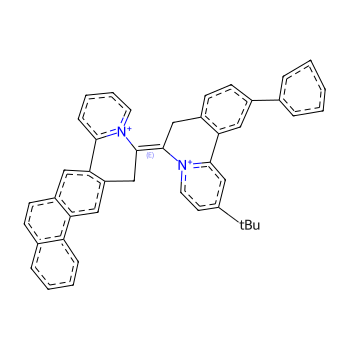 CC(C)(C)c1cc[n+]2c(c1)-c1cc(-c3ccccc3)ccc1C/C2=C1/Cc2cc3c(ccc4ccccc43)cc2-c2cccc[n+]21